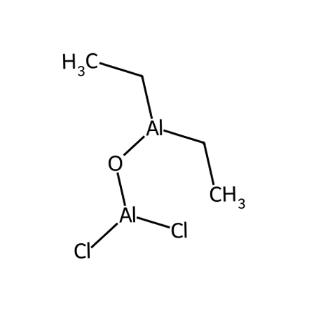 C[CH2][Al]([CH2]C)[O][Al]([Cl])[Cl]